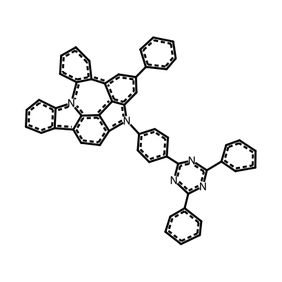 c1ccc(-c2cc3c4ccccc4n4c5ccccc5c5ccc6c(c3c(c2)n6-c2ccc(-c3nc(-c6ccccc6)nc(-c6ccccc6)n3)cc2)c54)cc1